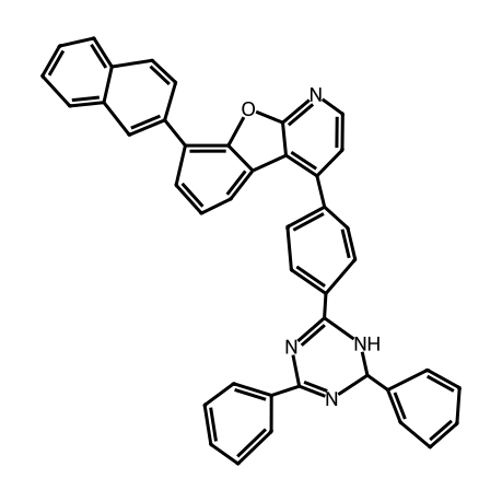 c1ccc(C2=NC(c3ccccc3)NC(c3ccc(-c4ccnc5oc6c(-c7ccc8ccccc8c7)cccc6c45)cc3)=N2)cc1